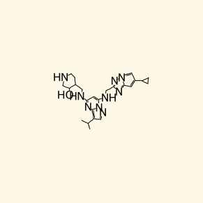 CC(C)c1cnn2c(NCc3nc4cc(C5CC5)ccn4n3)cc(NCC3CCNCC3O)nc12